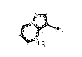 Cl.Nc1cnn2cccnc12